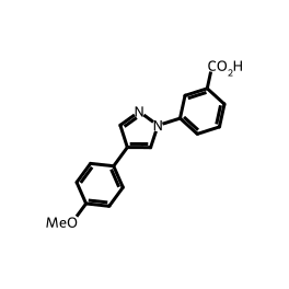 COc1ccc(-c2cnn(-c3cccc(C(=O)O)c3)c2)cc1